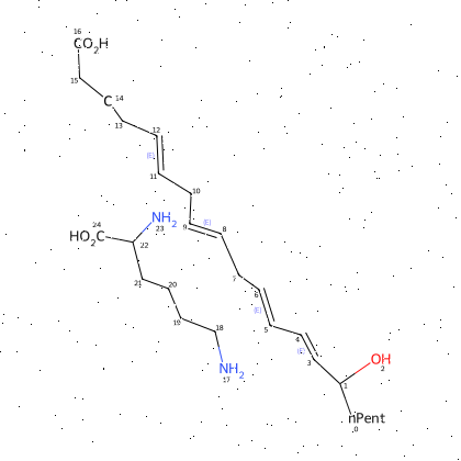 CCCCCC(O)/C=C/C=C/C/C=C/C/C=C/CCCC(=O)O.NCCCCC(N)C(=O)O